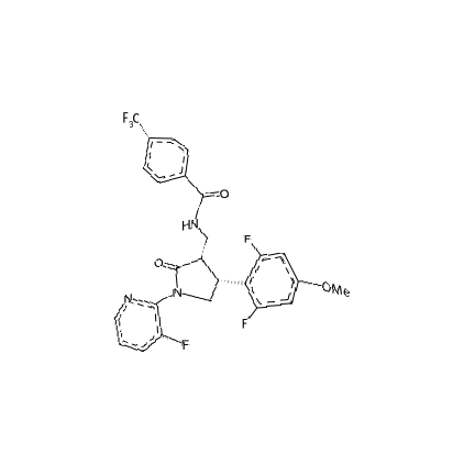 COc1cc(F)c([C@@H]2CN(c3ncccc3F)C(=O)C2CNC(=O)c2ccc(C(F)(F)F)cc2)c(F)c1